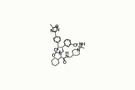 CC(=N)N1CCC(CNC(=O)C(C2CCCCC2)N(C[C@@H](Cc2ccc(-c3noc(C)n3)cc2)c2cccc(C(F)(F)F)c2)C(=O)C(F)(F)F)CC1